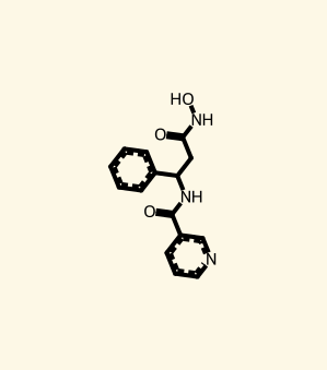 O=C(CC(NC(=O)c1cccnc1)c1ccccc1)NO